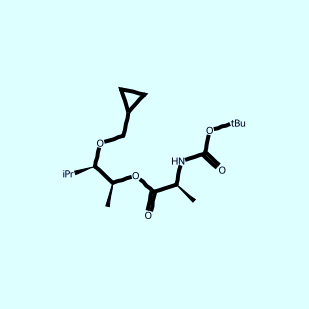 CC(C)[C@@H](OCC1CC1)[C@H](C)OC(=O)[C@H](C)NC(=O)OC(C)(C)C